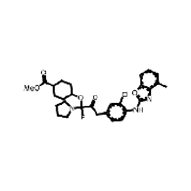 COC(=O)C1CCC(OC(F)(C(=O)Cc2ccc(Nc3nc4c(C)cccc4o3)c(Cl)c2)N2CCCC2)CC1